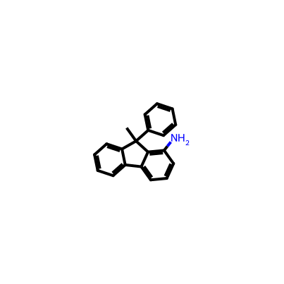 CC1(c2ccccc2)c2ccccc2-c2cccc(N)c21